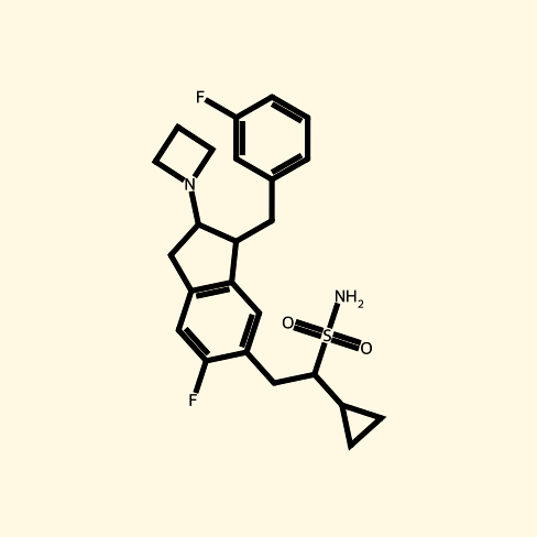 NS(=O)(=O)C(Cc1cc2c(cc1F)CC(N1CCC1)C2Cc1cccc(F)c1)C1CC1